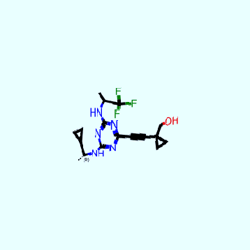 CC(Nc1nc(C#CC2(CO)CC2)nc(N[C@H](C)C2CC2)n1)C(F)(F)F